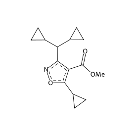 COC(=O)c1c(C(C2CC2)C2CC2)noc1C1CC1